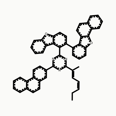 CC/C=C\C=C(/C)c1nc(-c2ccc3c(ccc4ccccc43)c2)nc(-c2c(-c3cccc4oc5c6ccccc6ccc5c34)ccc3oc4ccccc4c23)n1